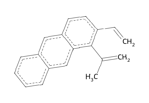 C=Cc1ccc2cc3ccccc3cc2c1C(=C)C